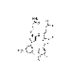 NC(=O)CCCN1CC(c2cc(C(F)(F)F)cc(C(F)(F)F)c2)CC1=O.NC(=O)CCCN1CC(c2ccc(Cl)c(Cl)c2)CC1=O